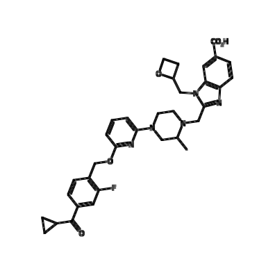 CC1CN(c2cccc(OCc3ccc(C(=O)C4CC4)cc3F)n2)CCN1Cc1nc2ccc(C(=O)O)cc2n1CC1CCO1